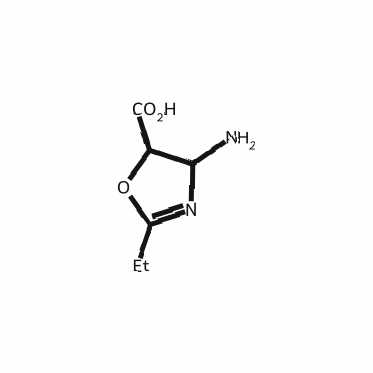 CCC1=NC(N)C(C(=O)O)O1